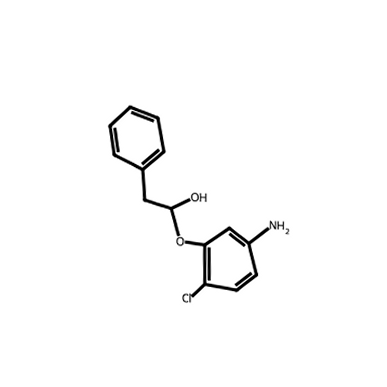 Nc1ccc(Cl)c(OC(O)Cc2ccccc2)c1